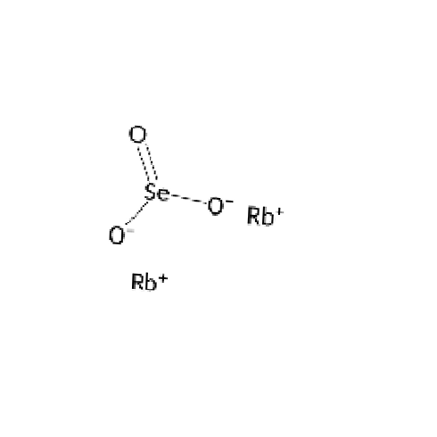 O=[Se]([O-])[O-].[Rb+].[Rb+]